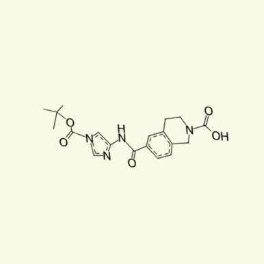 CC(C)(C)OC(=O)n1cnc(NC(=O)c2ccc3c(c2)CCN(C(=O)O)C3)c1